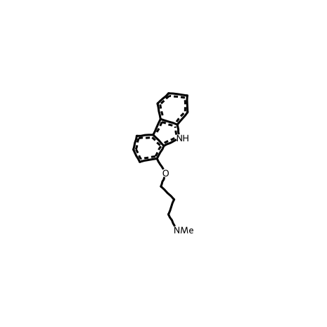 CNCCCOc1cccc2c1[nH]c1ccccc12